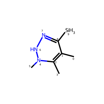 CC1=C(C)N(C)NN=C1[SiH3]